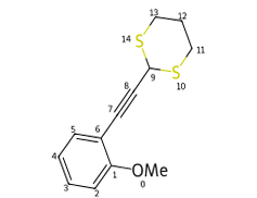 COc1ccccc1C#CC1SCCCS1